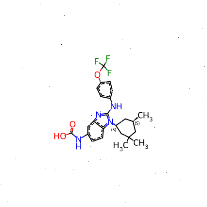 C[C@@H]1C[C@H](n2c(Nc3ccc(OC(F)(F)F)cc3)nc3cc(NC(=O)O)ccc32)CC(C)(C)C1